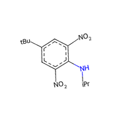 CC(C)Nc1c([N+](=O)[O-])cc(C(C)(C)C)cc1[N+](=O)[O-]